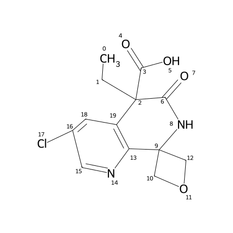 CCC1(C(=O)O)C(=O)NC2(COC2)c2ncc(Cl)cc21